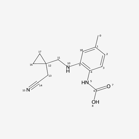 Cc1ccc(NC(=O)O)c(NCC2(CC#N)CC2)c1